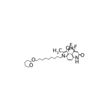 Cc1c(C)n(CCCCCCCCCOC2CCCCO2)c2ccc3[nH]c(=O)cc(C(F)(F)F)c3c12